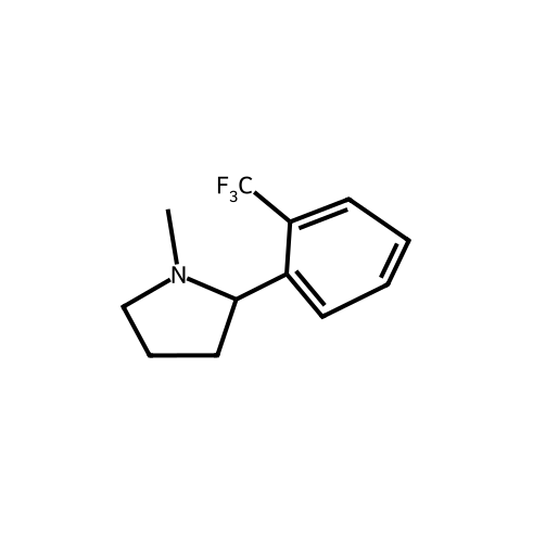 CN1CCCC1c1ccccc1C(F)(F)F